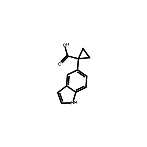 O=C(O)C1(c2ccc3[nH]ccc3c2)CC1